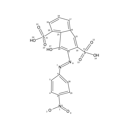 O=[N+]([O-])c1ccc(N=Nc2c(S(=O)(=O)O)cc3cccc(S(=O)(=O)O)c3c2O)cc1